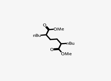 CCCCC(CCC(CCCC)C(=O)OC)C(=O)OC